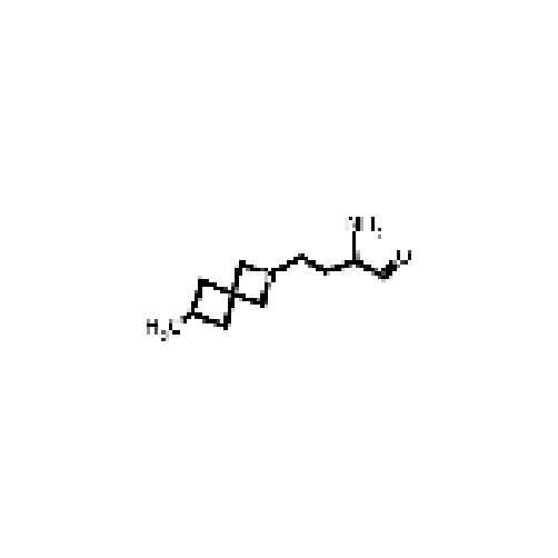 CC1CC2(C1)CN(CCC(N)C=O)C2